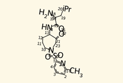 Cc1cccc(S(=O)(=O)N2CCCC(NC(=O)[C@@H](N)CC(C)C)C(=O)C2)n1